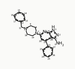 Nc1n[nH]c2nc(N3CCN(Cc4ccccc4)CC3)cc(-c3ccccc3)c12